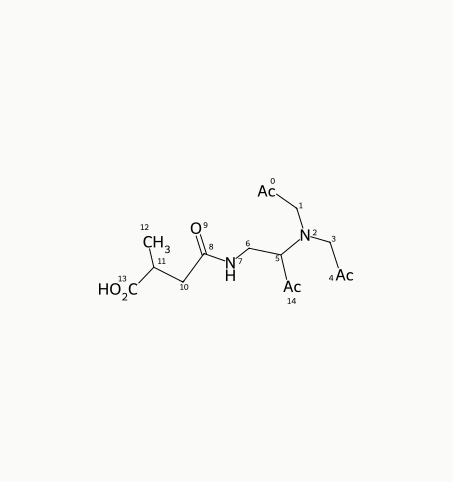 CC(=O)CN(CC(C)=O)C(CNC(=O)CC(C)C(=O)O)C(C)=O